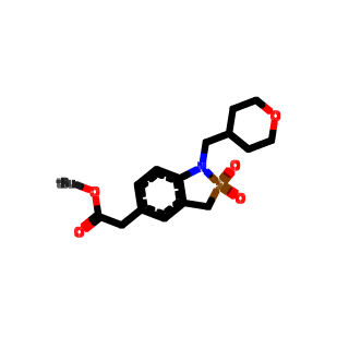 CC(C)(C)OC(=O)Cc1ccc2c(c1)CS(=O)(=O)N2CC1CCOCC1